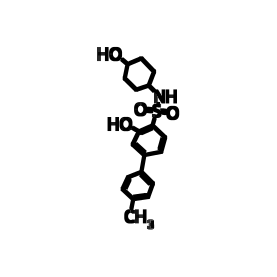 Cc1ccc(-c2ccc(S(=O)(=O)NC3CCC(O)CC3)c(O)c2)cc1